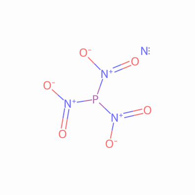 O=[N+]([O-])P([N+](=O)[O-])[N+](=O)[O-].[N]